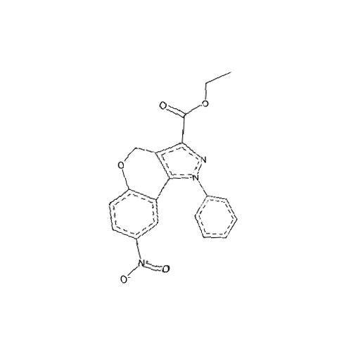 CCOC(=O)c1nn(-c2ccccc2)c2c1COc1ccc([N+](=O)[O-])cc1-2